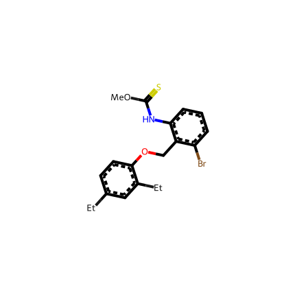 CCc1ccc(OCc2c(Br)cccc2NC(=S)OC)c(CC)c1